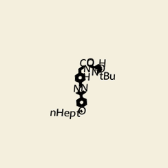 CCCCCCCOc1ccc(-c2cnc(-c3ccc(C[C@H](NC(=O)c4coc(C(C)(C)C)n4)C(=O)O)cc3)nc2)cc1